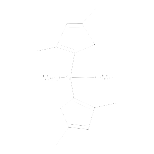 CO[Si](OC)(C1=C(C)C=C(C)C1)C1=C(C)C=C(C)C1